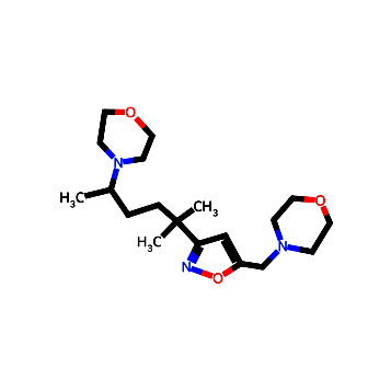 CC(CCC(C)(C)c1cc(CN2CCOCC2)on1)N1CCOCC1